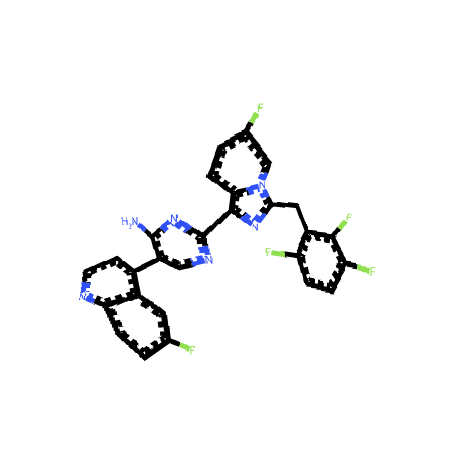 Nc1nc(-c2nc(Cc3c(F)ccc(F)c3F)n3cc(F)ccc23)ncc1-c1ccnc2ccc(F)cc12